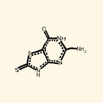 Nc1nc2[nH]c(=S)sc2c(=O)[nH]1